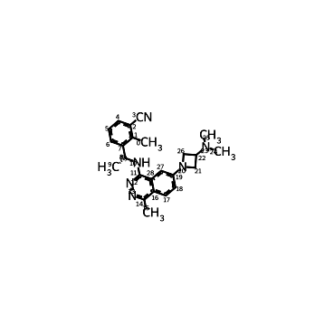 Cc1c(C#N)cccc1[C@@H](C)Nc1nnc(C)c2ccc(N3CC(N(C)C)C3)cc12